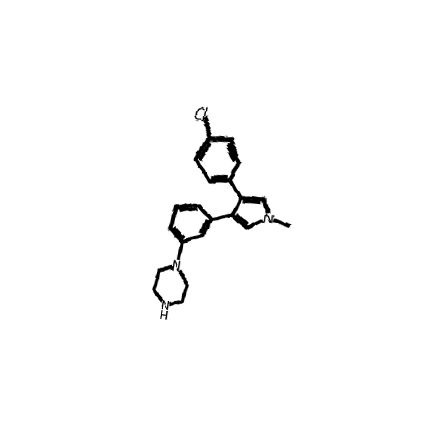 Cn1cc(-c2ccc(Cl)cc2)c(-c2cccc(N3CCNCC3)c2)c1